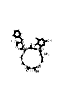 Cc1cc(O)cc(C)c1C[C@@H]1NC(=O)[C@H](N)CCCNC(=N)NC(=O)NCCCC[C@@H](C(=O)NC(Cc2ccccc2)C(N)=O)NC1=O